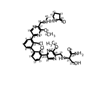 COc1nc(-c2cccc(-c3cccc(-c4cnc(CNC(CO)C(N)=O)c(OC)n4)c3Cl)c2Cl)cnc1CNC[C@@H]1CCC(=O)N1